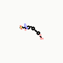 CS(=O)(=O)CCC(N)C(=O)N1CCC(Cc2ccc(C#Cc3ccc(OCCO)cc3)cc2)CC1